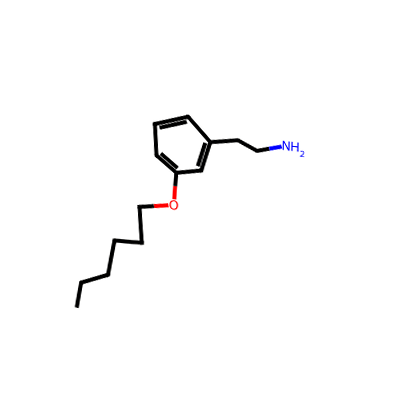 CCCCCCOc1cccc(CCN)c1